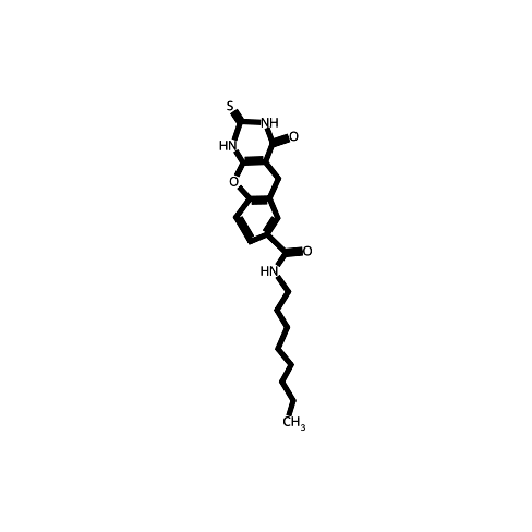 CCCCCCCCNC(=O)c1ccc2c(c1)Cc1c([nH]c(=S)[nH]c1=O)O2